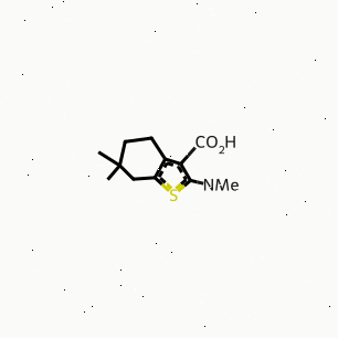 CNc1sc2c(c1C(=O)O)CCC(C)(C)C2